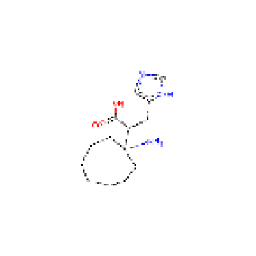 NC1(C(Cc2cnc[nH]2)C(=O)O)CCCCCCC1